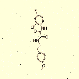 COc1ccc(CCNC(=O)C(=O)Nc2ccc(F)cc2Cl)cc1